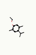 CCOc1cc(C)c(C(C)C)cc1C